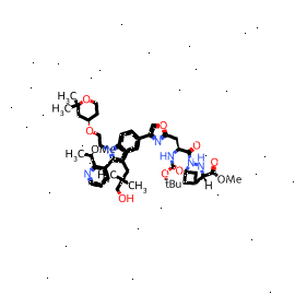 COC(=O)[C@H]1NN(C(=O)[C@H](Cc2nc(-c3ccc4c(c3)c(CC(C)(C)CO)c(-c3cccnc3[C@H](C)OC)n4CCO[C@H]3CCOC(C)(C)C3)co2)NC(=O)OC(C)(C)C)C2CC1C2